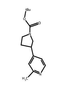 Cc1cc(C2CCN(C(=O)OC(C)(C)C)C2)ccn1